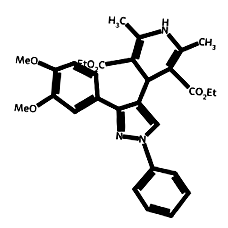 CCOC(=O)C1=C(C)NC(C)=C(C(=O)OCC)C1c1cn(-c2ccccc2)nc1-c1ccc(OC)c(OC)c1